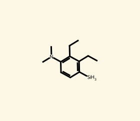 CCc1c([SiH3])ccc(N(C)C)c1CC